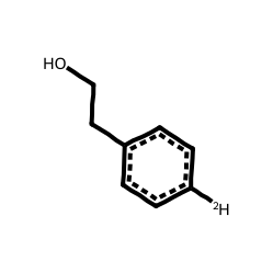 [2H]c1ccc(CCO)cc1